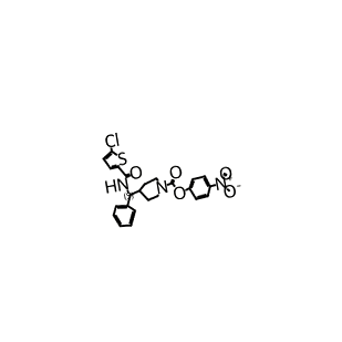 O=C(N[C@H](c1ccccc1)C1CCN(C(=O)Oc2ccc([N+](=O)[O-])cc2)CC1)c1ccc(Cl)s1